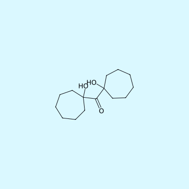 O=C(C1(O)CCCCCC1)C1(O)CCCCCC1